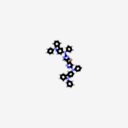 c1ccc(N(c2ccc3c(c2)c2ccccc2n3-c2ccccc2)c2cc3sc4nc(N(c5ccccc5)c5ccc6c(c5)c5ccccc5n6-c5ccccc5)ncc4c3nn2)cc1